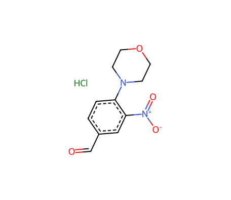 Cl.O=Cc1ccc(N2CCOCC2)c([N+](=O)[O-])c1